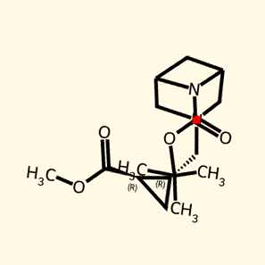 COC(=O)[C@@H]1C[C@H]1CN1CC2CC(C1)N2C(=O)OC(C)(C)C